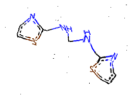 c1csc(NCNc2nccs2)n1